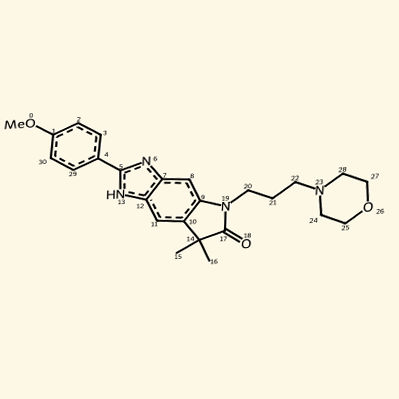 COc1ccc(-c2nc3cc4c(cc3[nH]2)C(C)(C)C(=O)N4CCCN2CCOCC2)cc1